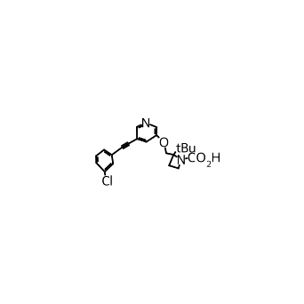 CC(C)(C)C1(COc2cncc(C#Cc3cccc(Cl)c3)c2)CCN1C(=O)O